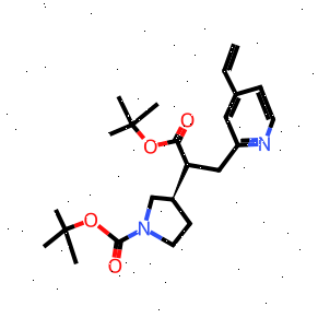 C=Cc1ccnc(CC(C(=O)OC(C)(C)C)[C@H]2CCN(C(=O)OC(C)(C)C)C2)c1